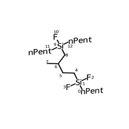 CCCCC[Si](F)(F)CCC(C)C[Si](F)(CCCCC)CCCCC